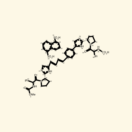 COC(=O)NC(C(=O)N1CCC[C@H]1c1ncc(C=CC=Cc2ccc(-c3cnc([C@@H]4CCCN4C(=O)C(NC(=O)O)C(C)C)[nH]3)cc2)[nH]1)C(C)C.O=S(=O)(O)c1cccc2c(S(=O)(=O)O)cccc12